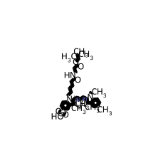 CCN1/C(=C/C=C/C2=[N+](CCCCCC(=O)NCCC(=O)OCC(C)(C)C)c3ccc(S(=O)(=O)O)cc3C2(C)C)C(C)(C)c2cc(C)ccc21